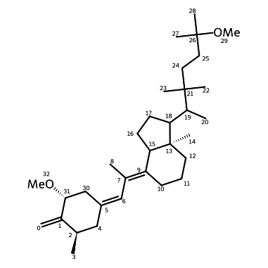 C=C1[C@H](C)C/C(=C/C(C)=C2\CCC[C@@]3(C)C2CCC3C(C)C(C)(C)CCC(C)(C)OC)C[C@H]1OC